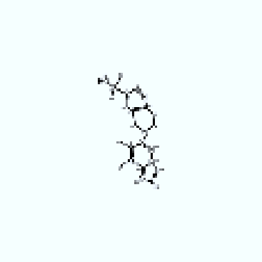 Cc1c(N2CCc3ncc(C(C)(C)O)cc3C2)nn2cnnc2c1C